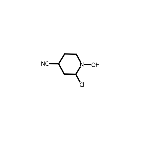 N#CC1CCN(O)C(Cl)C1